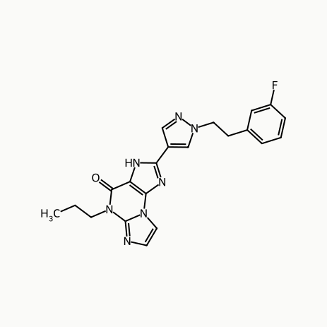 CCCn1c(=O)c2[nH]c(-c3cnn(CCc4cccc(F)c4)c3)nc2n2ccnc12